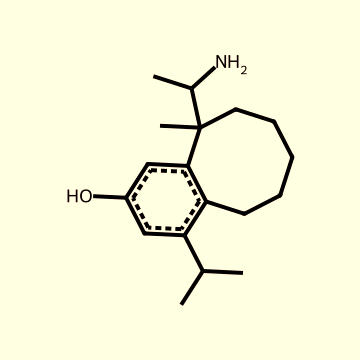 CC(C)c1cc(O)cc2c1CCCCCC2(C)C(C)N